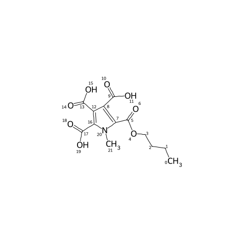 CCCCOC(=O)c1c(C(=O)O)c(C(=O)O)c(C(=O)O)n1C